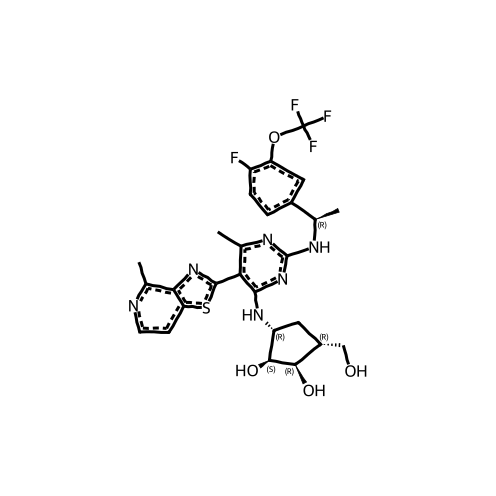 Cc1nc(N[C@H](C)c2ccc(F)c(OC(F)(F)F)c2)nc(N[C@@H]2C[C@H](CO)[C@@H](O)[C@H]2O)c1-c1nc2c(C)nccc2s1